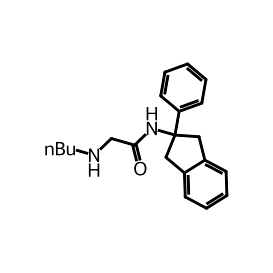 CCCCNCC(=O)NC1(c2ccccc2)Cc2ccccc2C1